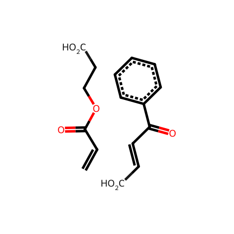 C=CC(=O)OCCC(=O)O.O=C(O)/C=C/C(=O)c1ccccc1